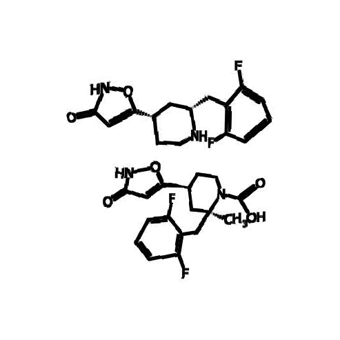 C[C@]1(Cc2c(F)cccc2F)C[C@@H](c2cc(=O)[nH]o2)CCN1C(=O)O.O=c1cc([C@H]2CCN[C@@H](Cc3c(F)cccc3F)C2)o[nH]1